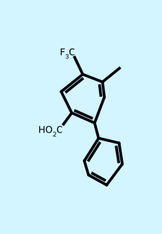 Cc1cc(-c2ccccc2)c(C(=O)O)cc1C(F)(F)F